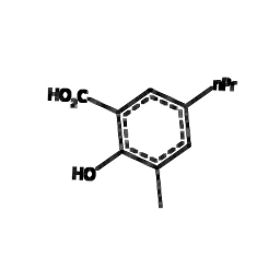 CCCc1cc(C)c(O)c(C(=O)O)c1